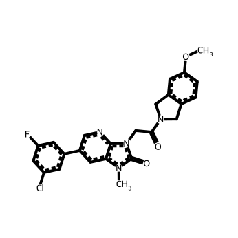 COc1ccc2c(c1)CN(C(=O)Cn1c(=O)n(C)c3cc(-c4cc(F)cc(Cl)c4)cnc31)C2